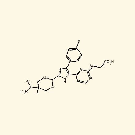 CC(=O)C(N)C1(C)COC(c2nc(-c3ccc(F)cc3)c(-c3ccnc(NCC(=O)O)n3)[nH]2)OC1